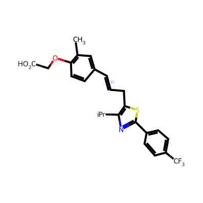 Cc1cc(/C=C/Cc2sc(-c3ccc(C(F)(F)F)cc3)nc2C(C)C)ccc1OCC(=O)O